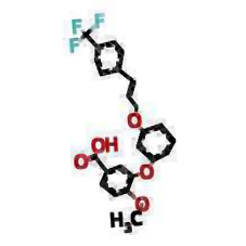 COc1ccc(C(=O)O)cc1Oc1cccc(OCC=Cc2ccc(C(F)(F)F)cc2)c1